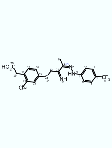 C/C(=N/Nc1ccc(C(F)(F)F)cc1)C(=N)CSc1ccc(CC(=O)O)c(Cl)c1